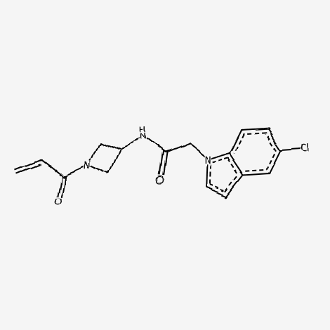 C=CC(=O)N1CC(NC(=O)Cn2ccc3cc(Cl)ccc32)C1